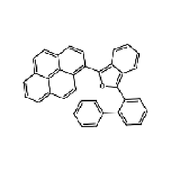 c1ccc(-c2ccccc2-c2oc(-c3ccc4ccc5cccc6ccc3c4c56)c3ccccc23)cc1